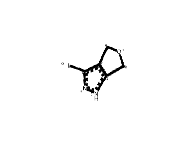 Ic1n[nH]c2c1COC2